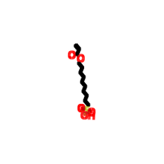 C=CC(=O)OCCCCCCCCCCS(=O)(=O)O